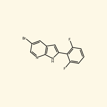 Fc1cccc(F)c1-c1cc2cc(Br)cnc2[nH]1